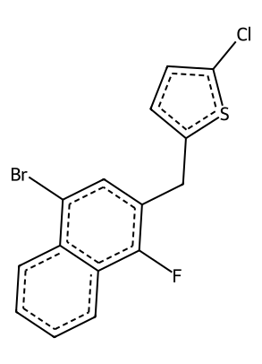 Fc1c(Cc2ccc(Cl)s2)cc(Br)c2ccccc12